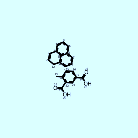 C1=Cc2cccc3cccc(c23)C1.Cc1ccc(C(=O)O)cc1C(=O)O